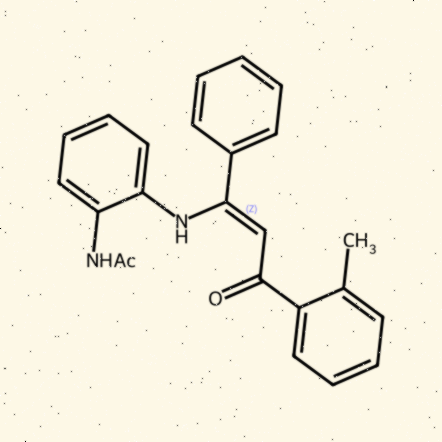 CC(=O)Nc1ccccc1N/C(=C\C(=O)c1ccccc1C)c1ccccc1